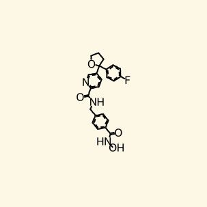 O=C(NO)c1ccc(CNC(=O)c2ccc(C3(c4ccc(F)cc4)CCCO3)cn2)cc1